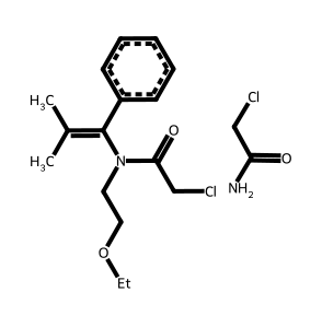 CCOCCN(C(=O)CCl)C(=C(C)C)c1ccccc1.NC(=O)CCl